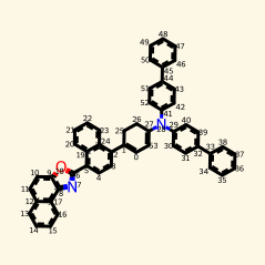 C1=C(c2ccc(-c3nc4c(ccc5ccccc54)o3)c3ccccc23)CCC(N(c2ccc(-c3ccccc3)cc2)c2ccc(-c3ccccc3)cc2)=C1